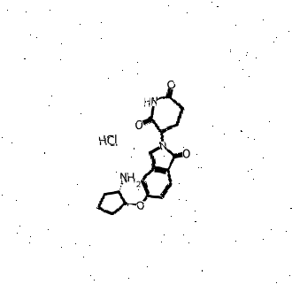 Cl.N[C@H]1CCC[C@@H]1Oc1ccc2c(c1)CN(C1CCC(=O)NC1=O)C2=O